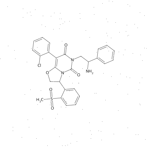 CS(=O)(=O)c1ccccc1C1COc2c(-c3ccccc3Cl)c(=O)n(CC(N)c3ccccc3)c(=O)n21